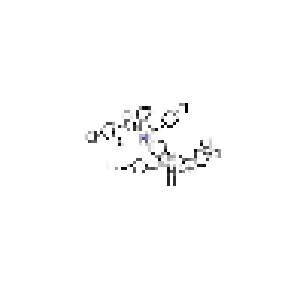 Cc1ccc(Cn2c(=N)n(CC(O)c3ccc(Cl)c(Cl)c3)c3ccc(/N=c4\n(Cc5ccc(Cl)cc5)c5ccccc5n4CC(O)c4ccc(Cl)cc4Cl)cc32)cc1